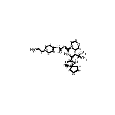 CCCN1CCC(OC(=O)/N=C(\NC(CC(C)(C)C)C(=O)NC2(C#N)CCCC2)N2CCOCC2)CC1